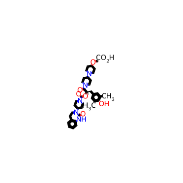 Cc1cc(C[C@@H](OC(=O)N2CCC(N3CCc4ccccc4NC3=O)CC2)C(=O)N2CCC(N3CCC(OCC(=O)O)CC3)CC2)cc(C)c1O